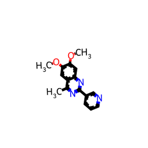 COc1cc2nc(-c3cccnc3)nc(C)c2cc1OC